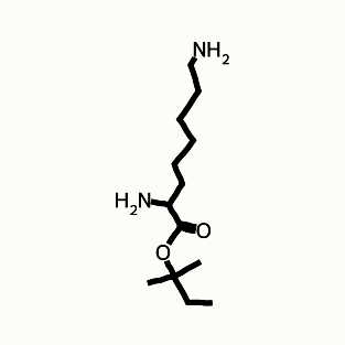 CCC(C)(C)OC(=O)C(N)CCCCCCN